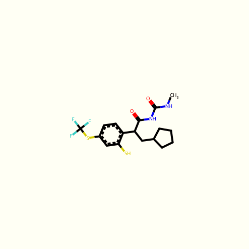 CNC(=O)NC(=O)C(CC1CCCC1)c1ccc(SC(F)(F)F)cc1S